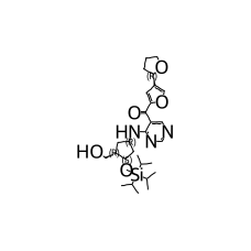 CC(C)[Si](O[C@H]1C[C@H](Nc2ncncc2C(=O)c2cc([C@H]3CCCO3)co2)C[C@@H]1CO)(C(C)C)C(C)C